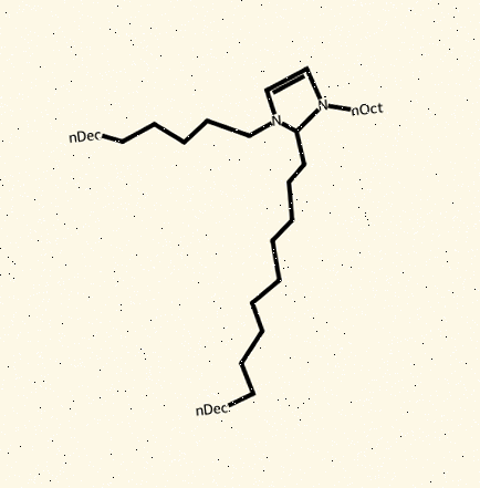 CCCCCCCCCCCCCCCCCCCC1N(CCCCCCCC)C=CN1CCCCCCCCCCCCCCC